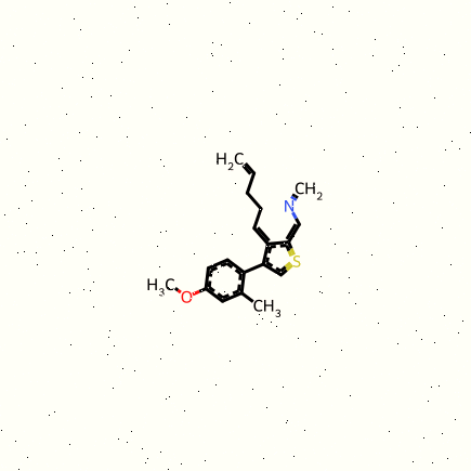 C=CCC/C=c1/c(-c2ccc(OC)cc2C)cs/c1=C/N=C